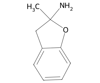 CC1(N)Cc2ccccc2O1